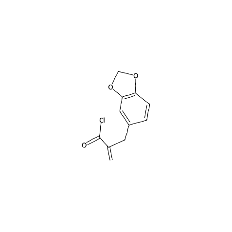 C=C(Cc1ccc2c(c1)OCO2)C(=O)Cl